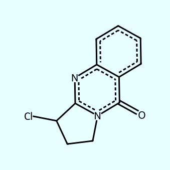 O=c1c2ccccc2nc2n1CCC2Cl